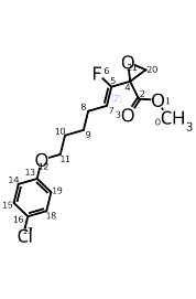 COC(=O)C1(/C(F)=C/CCCCOc2ccc(Cl)cc2)CO1